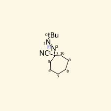 CC(C)(C)/N=N/C1(C#N)CCCCCC1